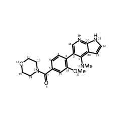 CNc1c(-c2ccc(C(=O)N3CCOCC3)cc2OC)cnc2[nH]ccc12